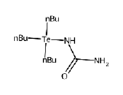 CCCC[Te](CCCC)(CCCC)NC(N)=O